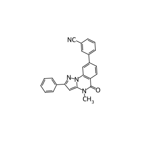 Cn1c(=O)c2ccc(-c3cccc(C#N)c3)cc2n2nc(-c3ccccc3)cc12